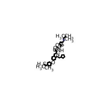 CC(C)(C)/C=C/c1ccc(C[C@H](NC(=O)c2cc3ccc(Oc4ccc(C(C)(C)C)cc4)cc3c(CC3CCCC3)n2)C(=O)O)s1